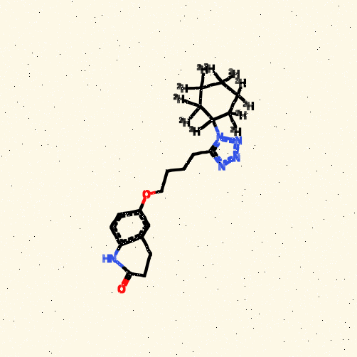 [2H]C1([2H])C([2H])([2H])C([2H])([2H])C([2H])(n2nnnc2CCCCOc2ccc3c(c2)CCC(=O)N3)C([2H])([2H])C1([2H])[2H]